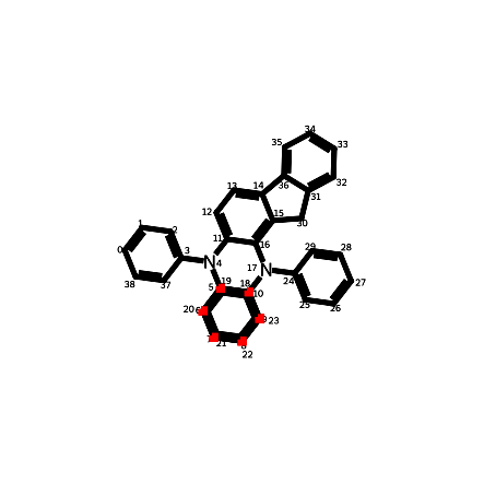 c1ccc(N(c2ccccc2)c2ccc3c(c2N(c2ccccc2)c2ccccc2)Cc2ccccc2-3)cc1